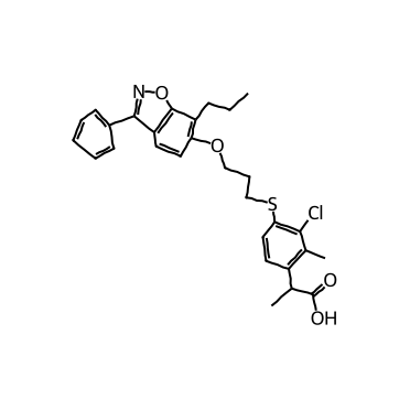 CCCc1c(OCCCSc2ccc(C(C)C(=O)O)c(C)c2Cl)ccc2c(-c3ccccc3)noc12